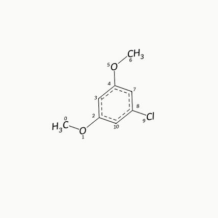 COc1[c]c(OC)cc(Cl)c1